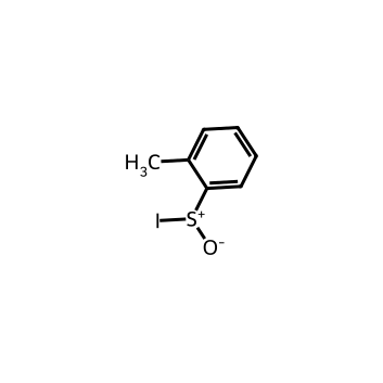 Cc1ccccc1[S+]([O-])I